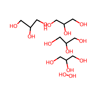 OCC(O)CO.OCC(O)CO.OCC(O)CO.OCC(O)CO.OO